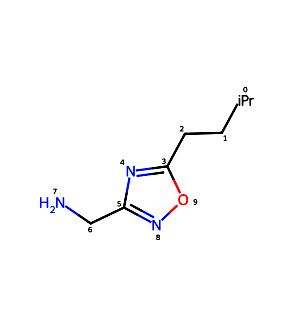 CC(C)CCc1nc(CN)no1